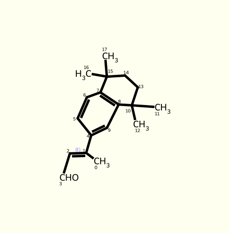 C/C(=C\C=O)c1ccc2c(c1)C(C)(C)CCC2(C)C